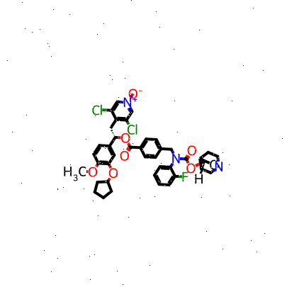 COc1ccc([C@H](Cc2c(Cl)c[n+]([O-])cc2Cl)OC(=O)c2ccc(CN(C(=O)O[C@H]3CN4CCC3CC4)c3ccccc3F)cc2)cc1OC1CCCC1